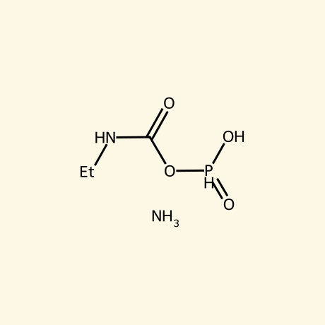 CCNC(=O)O[PH](=O)O.N